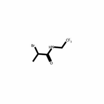 CC(Br)C(=O)NCC(F)(F)F